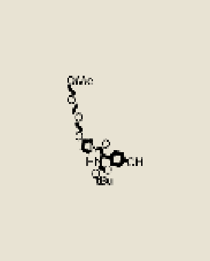 COCCOCCOCCO[C@H]1CCN(C(=O)C(NC(=O)OC(C)(C)C)c2ccc(O)cc2)C1